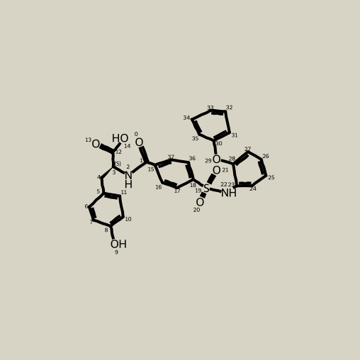 O=C(N[C@@H](Cc1ccc(O)cc1)C(=O)O)c1ccc(S(=O)(=O)Nc2ccccc2Oc2ccccc2)cc1